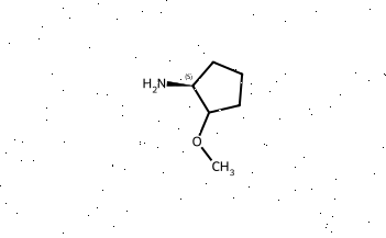 COC1CCC[C@@H]1N